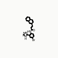 O=C(C=Cc1ccc2ccccc2c1)Nc1ccc(Br)cc1-c1nnn[nH]1